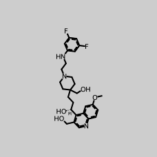 COc1ccc2ncc(CO)c([C@H](O)CCC3(CO)CCN(CCNc4cc(F)cc(F)c4)CC3)c2c1